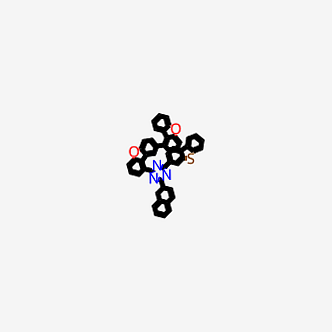 C1=CC(c2nc(-c3ccc4c(c3)sc3ccccc34)nc(-c3cccc4oc5ccc(-c6cccc7oc8ccccc8c67)cc5c34)n2)Cc2ccccc21